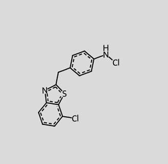 ClNc1ccc(Cc2nc3cccc(Cl)c3s2)cc1